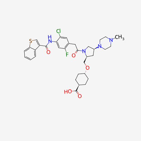 CN1CCN([C@H]2C[C@@H](CO[C@H]3CC[C@H](C(=O)O)CC3)N(C(=O)Cc3cc(Cl)c(NC(=O)c4csc5ccccc45)cc3F)C2)CC1